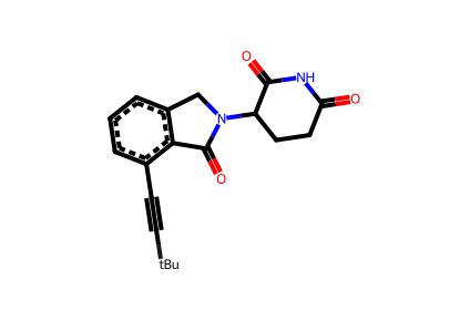 CC(C)(C)C#Cc1cccc2c1C(=O)N(C1CCC(=O)NC1=O)C2